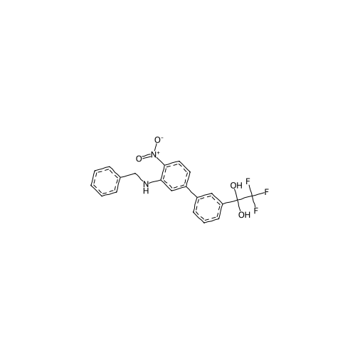 O=[N+]([O-])c1ccc(-c2cccc(C(O)(O)C(F)(F)F)c2)cc1NCc1ccccc1